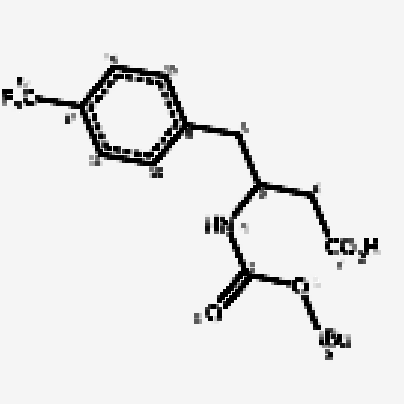 CC(C)(C)OC(=O)NC(CC(=O)O)Cc1ccc(C(F)(F)F)cc1